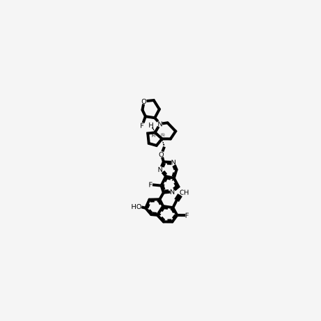 C#Cc1c(F)ccc2cc(O)cc(-c3ncc4cnc(OC[C@]56CCC[C@H]5N(C5CCOCC5F)CCC6)nc4c3F)c12